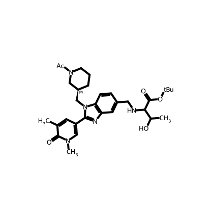 CC(=O)N1CCC[C@@H](Cn2c(-c3cc(C)c(=O)n(C)c3)nc3cc(CNC(C(=O)OC(C)(C)C)C(C)O)ccc32)C1